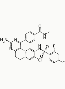 CNC(=O)c1ccc(-c2nc(N)nc3c2-c2cc(NS(=O)(=O)c4ccc(F)cc4F)c(Cl)cc2CC3)cc1